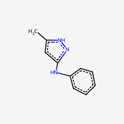 Cc1cc(Nc2ccccc2)n[nH]1